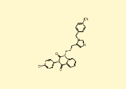 N#Cc1ccc(Cn2cncc2CCCn2c(=O)n(-c3ccc(Cl)cc3)c(=O)c3ccccc32)cc1